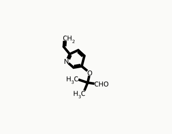 C=Cc1ccc(OC(C)(C)C=O)cn1